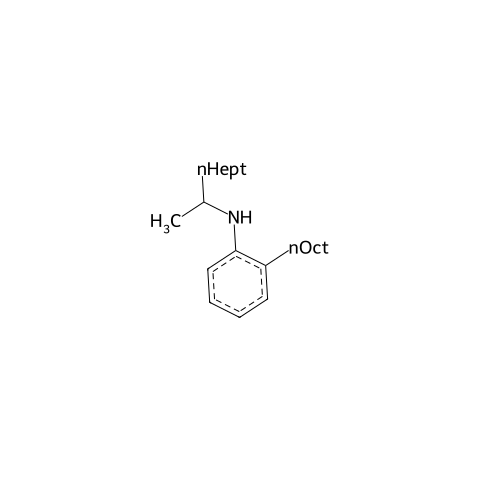 CCCCCCCCc1ccccc1NC(C)CCCCCCC